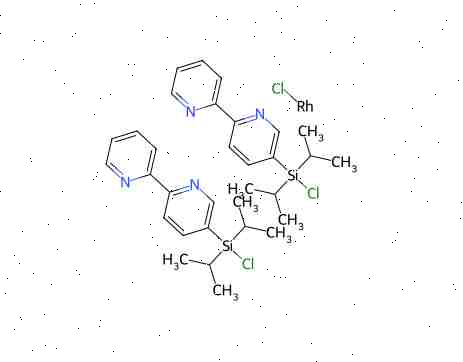 CC(C)[Si](Cl)(c1ccc(-c2ccccn2)nc1)C(C)C.CC(C)[Si](Cl)(c1ccc(-c2ccccn2)nc1)C(C)C.[Cl][Rh]